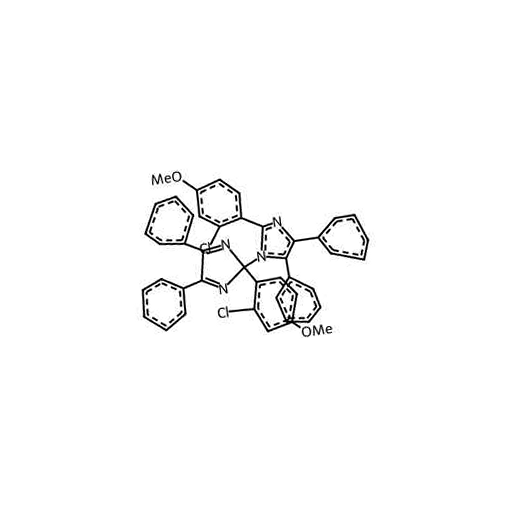 COc1ccc(-c2nc(-c3ccccc3)c(-c3ccccc3)n2C2(c3ccc(OC)cc3Cl)N=C(c3ccccc3)C(c3ccccc3)=N2)c(Cl)c1